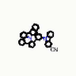 N#Cc1ccc2c(c1)c1ccccc1n2-c1cc(-c2ccccc2)cc(-c2cccc(-c3ccccc3)c2-n2c3ccccc3c3ccccc32)c1